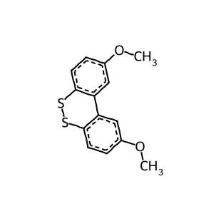 COc1ccc2c(c1)-c1cc(OC)ccc1SS2